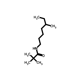 CC[C](C)CCCCNC(=O)C(C)(C)C